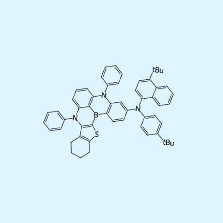 CC(C)(C)c1ccc(N(c2ccc3c(c2)N(c2ccccc2)c2cccc4c2B3c2sc3c(c2N4c2ccccc2)CCCC3)c2ccc(C(C)(C)C)c3ccccc23)cc1